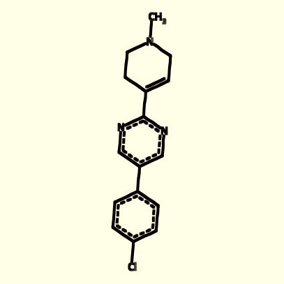 CN1CC=C(c2ncc(-c3ccc(Cl)cc3)cn2)CC1